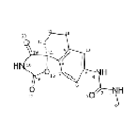 CNC(=O)Nc1ccc2c(c1)CCC[C@@]21OC(=O)NC1=O